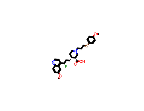 COc1ccc(SCCCN2CC[C@@H](CC[C@H](F)c3ccnc4ccc(OC)cc34)[C@@H](C(=O)O)C2)cc1